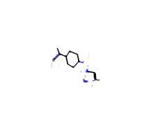 CC/C=C(/C)C1CCC(Nc2ncnc(CC)c2Cl)CC1